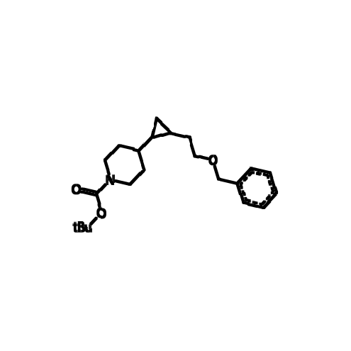 CC(C)(C)OC(=O)N1CCC(C2CC2CCOCc2ccccc2)CC1